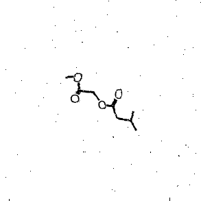 COC(=O)COC(=O)CC(C)C